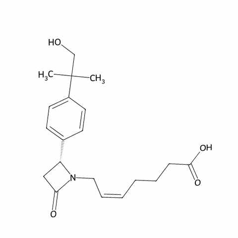 CC(C)(CO)c1ccc([C@H]2CC(=O)N2C/C=C\CCCC(=O)O)cc1